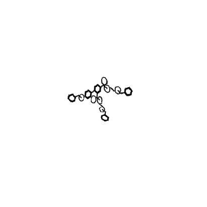 O=C(OCCOCc1ccccc1)c1ccc(-c2ccc(OCc3ccccc3)cc2)c(C(=O)OCCOCc2ccccc2)c1